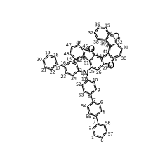 c1ccc(-c2ccc(-c3ccc(N(c4ccc(-c5ccccc5)cc4)c4cc5oc6ccc7oc8ccccc8c7c6c5c5oc6ccccc6c45)cc3)cc2)cc1